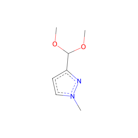 COC(OC)c1ccn(C)n1